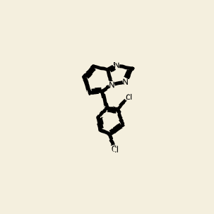 Clc1ccc(-c2cccc3ncnn23)c(Cl)c1